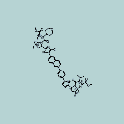 COC(=O)N[C@H](C(=O)N1[C@@H]2C[C@@H]2C[C@H]1c1ncc(-c2ccc(-c3ccc4cc(-c5[nH]c(C6C[C@H]7C[C@H]7N6C(=O)[C@@H](NC(=O)OC)C6CCOCC6)nc5Cl)ccc4c3)cc2)[nH]1)C(C)C